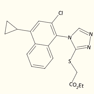 CCOC(=O)CSc1nncn1-c1c(Cl)cc(C2CC2)c2ccccc12